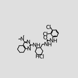 CN(C)c1nc(NC2CCCCC2CNC(=O)Nc2cccc(Cl)c2Cl)nc2c1CCCC2.Cl